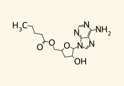 CCCCC(=O)OCC1CC(O)C(n2cnc3c(N)ncnc32)O1